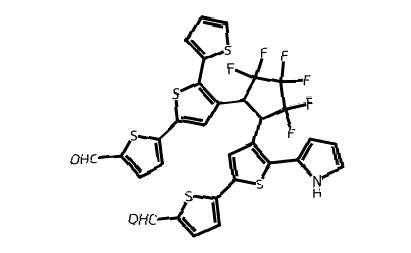 O=Cc1ccc(-c2cc(C3C(c4cc(-c5ccc(C=O)s5)sc4-c4cccs4)C(F)(F)C(F)(F)C3(F)F)c(-c3ccc[nH]3)s2)s1